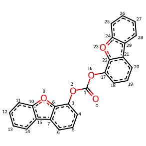 O=C(Oc1cccc2c1oc1ccccc12)Oc1cccc2c1oc1ccccc12